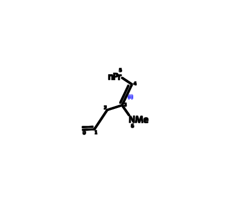 C=CC/C(=C\CCC)NC